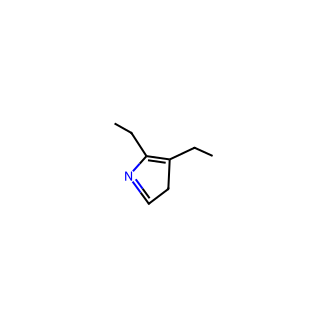 CCC1=C(CC)N=CC1